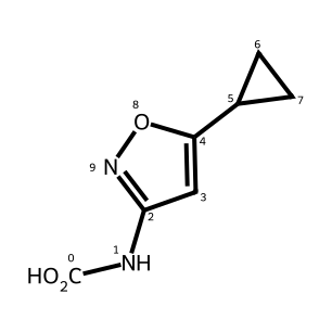 O=C(O)Nc1cc(C2CC2)on1